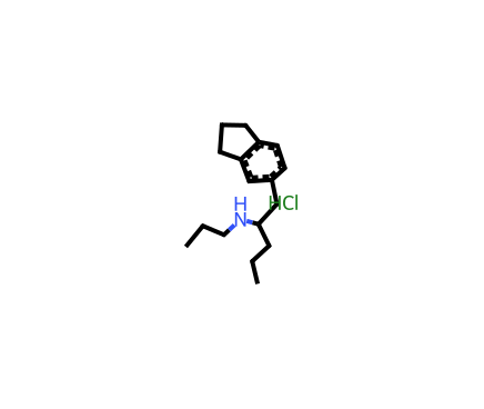 CCCNC(CCC)Cc1ccc2c(c1)CCC2.Cl